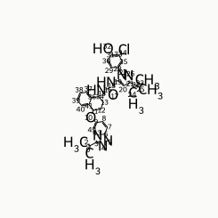 CC(C)c1nnc2ccc(OC3CCC(NC(=O)Nc4cc(C(C)(C)C)nn4-c4ccc(O)c(Cl)c4)c4ccccc43)cn12